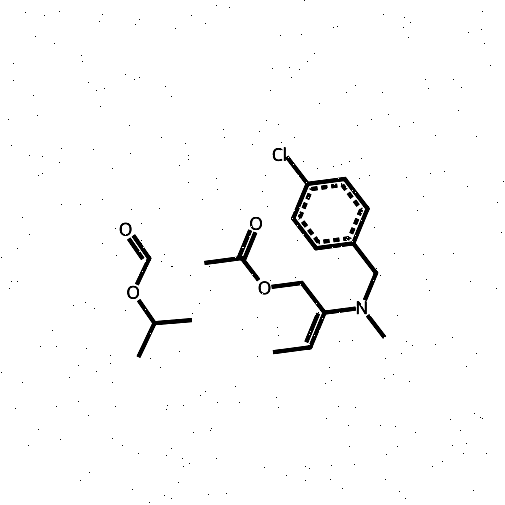 CC(C)OC=O.CC=C(COC(C)=O)N(C)Cc1ccc(Cl)cc1